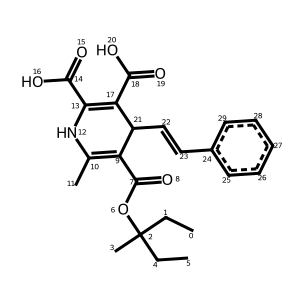 CCC(C)(CC)OC(=O)C1=C(C)NC(C(=O)O)=C(C(=O)O)C1C=Cc1ccccc1